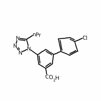 CCCc1nnnn1-c1cc(C(=O)O)cc(-c2ccc(Cl)cc2)c1